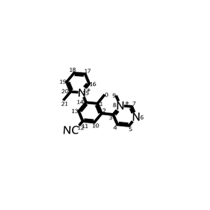 Cc1c(-c2ccnc[n+]2C)cc(C#N)cc1-[n+]1ccccc1C